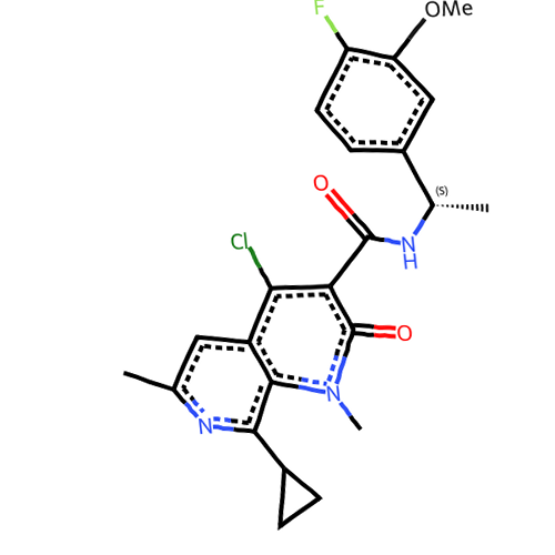 COc1cc([C@H](C)NC(=O)c2c(Cl)c3cc(C)nc(C4CC4)c3n(C)c2=O)ccc1F